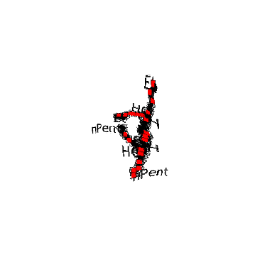 CC/C=C\C/C=C\C/C=C\CCCCCC[C@H](O)CN(CCCCSSCCN1CCN(CCOC(=O)CCCN(C[C@H](O)CCCCCC/C=C\C/C=C\CCCCC)C[C@H](O)CCCCCC/C=C\C/C=C\CCCCC)CC1)C[C@@H](O)CCCCCC/C=C\C/C=C\C/C=C\CC